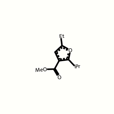 CCc1cc(C(=O)OC)c(C(C)C)o1